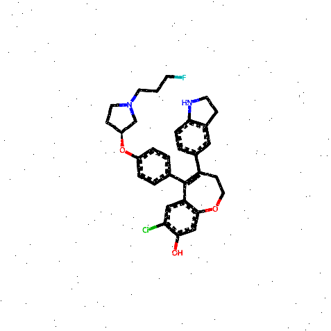 Oc1cc2c(cc1Cl)C(c1ccc(O[C@H]3CCN(CCCF)C3)cc1)=C(c1ccc3c(c1)CCN3)CCO2